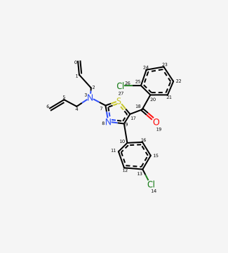 C=CCN(CC=C)c1nc(-c2ccc(Cl)cc2)c(C(=O)c2ccccc2Cl)s1